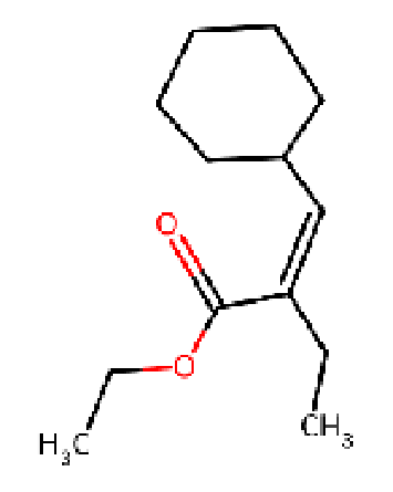 CCOC(=O)C(=CC1CCCCC1)CC